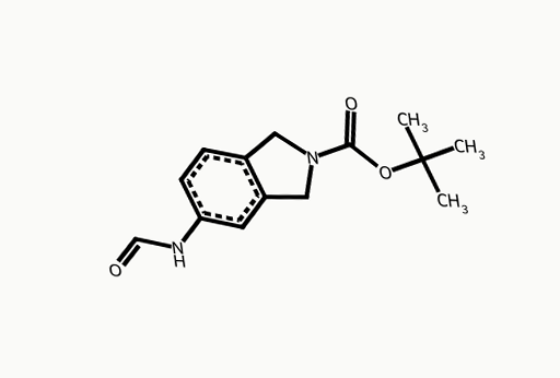 CC(C)(C)OC(=O)N1Cc2ccc(NC=O)cc2C1